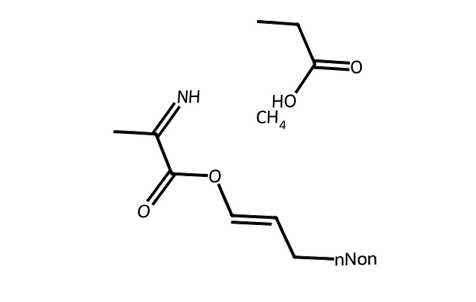 C.CCC(=O)O.CCCCCCCCCCC=COC(=O)C(C)=N